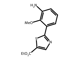 CCOC(=O)c1cnc(-c2cccc(N)c2OC)s1